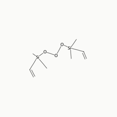 C=C[Si](C)(C)OOO[Si](C)(C)C=C